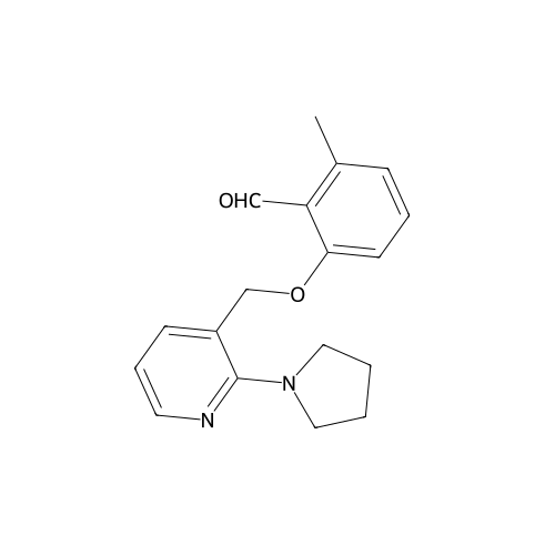 Cc1cccc(OCc2cccnc2N2CCCC2)c1C=O